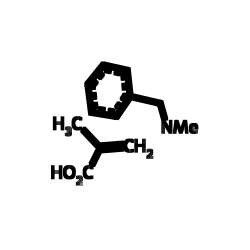 C=C(C)C(=O)O.CNCc1ccccc1